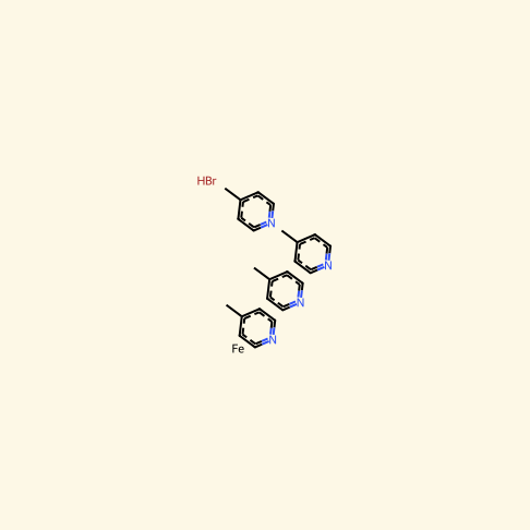 Br.Cc1ccncc1.Cc1ccncc1.Cc1ccncc1.Cc1ccncc1.[Fe]